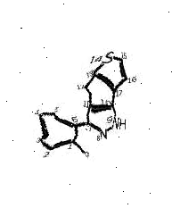 Cc1ccccc1-c1n[nH]c2c1Cc1sccc1-2